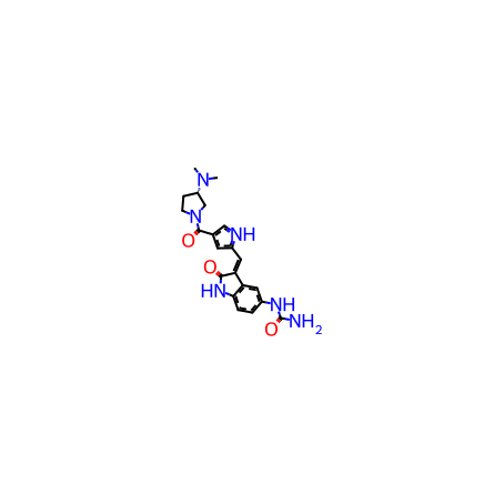 CN(C)[C@H]1CCN(C(=O)c2c[nH]c(/C=C3\C(=O)Nc4ccc(NC(N)=O)cc43)c2)C1